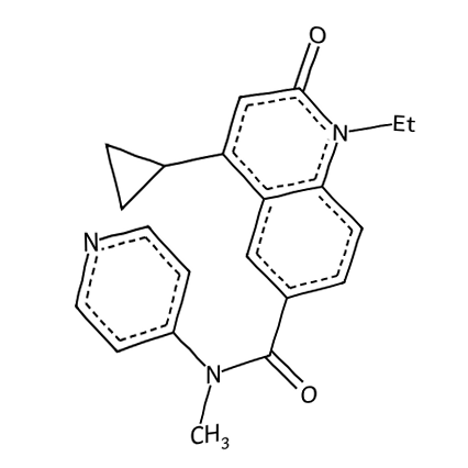 CCn1c(=O)cc(C2CC2)c2cc(C(=O)N(C)c3ccncc3)ccc21